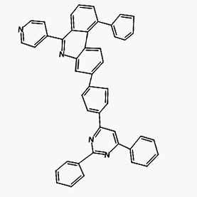 c1ccc(-c2cc(-c3ccc(-c4ccc5c(c4)nc(-c4ccncc4)c4cccc(-c6ccccc6)c45)cc3)nc(-c3ccccc3)n2)cc1